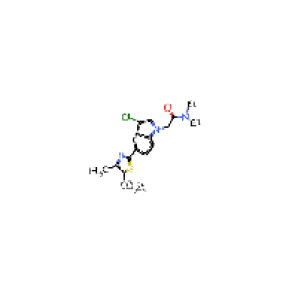 CCOC(=O)c1sc(-c2ccc3c(c2)c(Cl)cn3CC(=O)N(CC)CC)nc1C